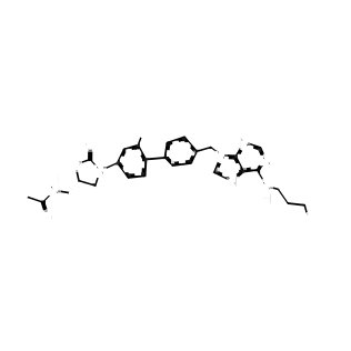 CC(=O)NC[C@H]1CN(c2ccc(-c3ccc(Cn4cnc5c(NCCCO)ncnc54)cc3)c(F)c2)C(=O)O1